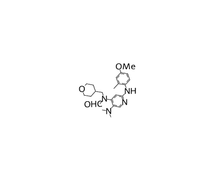 COc1ccc(Nc2cc(N(C=O)CC3CCOCC3)c(N(C)C)cn2)c(C)c1